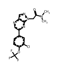 CN(C)C(=O)Cn1ncc2ncc(-c3ccc(OC(F)(F)F)c(Cl)c3)nc21